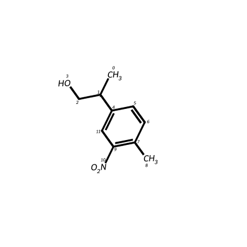 C[C](CO)c1ccc(C)c([N+](=O)[O-])c1